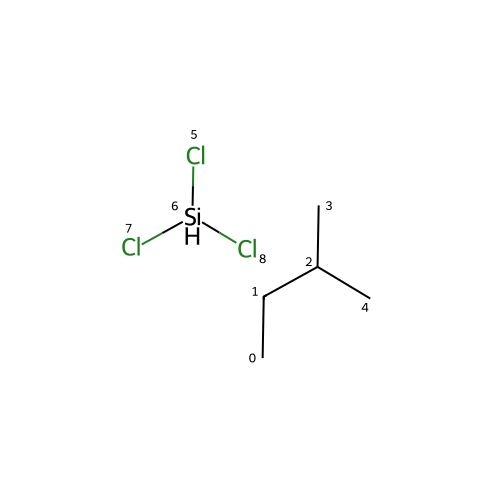 CCC(C)C.Cl[SiH](Cl)Cl